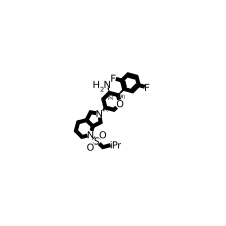 CC(C)CS(=O)(=O)N1CCCC2CN([C@H]3CO[C@H](c4cc(F)ccc4F)[C@@H](N)C3)CC21